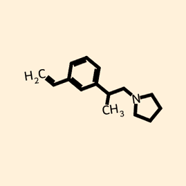 C=Cc1cccc(C(C)CN2CCCC2)c1